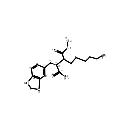 CC(C)CCCCCC(C(=O)OC(C)(C)C)[C@H](Cc1ccc2c(c1)OCO2)C(N)=O